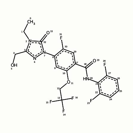 CCn1c(CO)nn(-c2cc(OCC(F)(F)F)c(C(=O)Nc3c(F)cccc3F)cc2F)c1=O